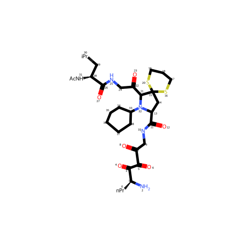 CCC[C@H](N)C(=O)C(=O)C(=O)C[N]C(=O)C1CC2(SCCCS2)C(C(=O)CNC(=O)[C@H](CC(C)C)NC(C)=O)N1C1CCCCC1